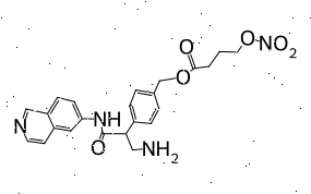 NCC(C(=O)Nc1ccc2cnccc2c1)c1ccc(COC(=O)CCCO[N+](=O)[O-])cc1